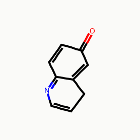 O=C1C=CC2=NC=CCC2=C1